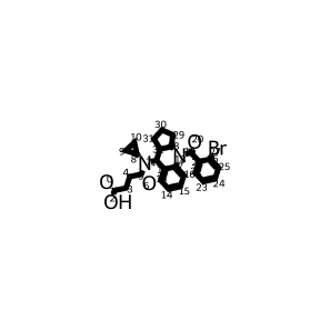 O=C(O)CCC(=O)N(C1CC1)C1c2ccccc2N(C(=O)c2ccccc2Br)C2CCCC21